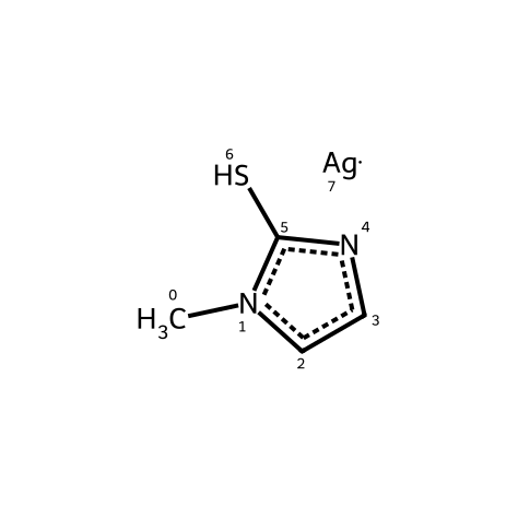 Cn1ccnc1S.[Ag]